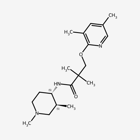 Cc1cnc(OCC(C)(C)C(=O)N[C@H]2CCN(C)C[C@@H]2C)c(C)c1